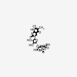 Cc1c(C(F)(F)F)[nH]c2nc(=S)n([C@@H]3O[C@H](COP(=O)(O)OP(=O)(O)OP(=O)(O)O)C(O)[C@@H]3O)cc2c1=O